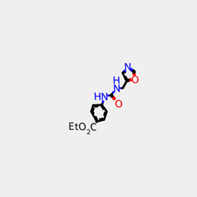 CCOC(=O)c1ccc(NC(=O)NCc2cnco2)cc1